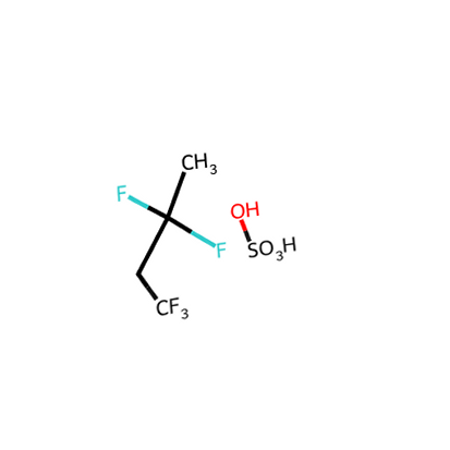 CC(F)(F)CC(F)(F)F.O=S(=O)(O)O